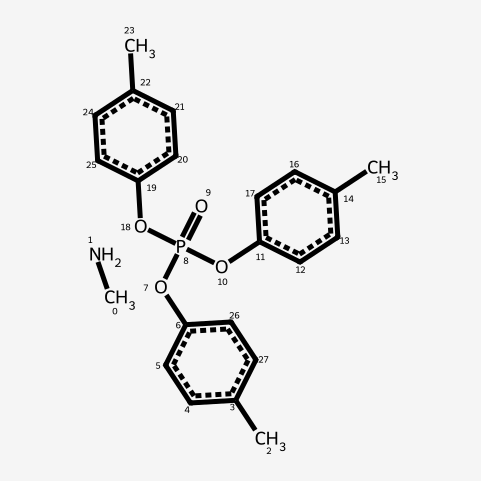 CN.Cc1ccc(OP(=O)(Oc2ccc(C)cc2)Oc2ccc(C)cc2)cc1